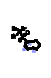 O=S(=O)(C1=C\CC/C=C/C=C\1)C(Br)(Br)Br